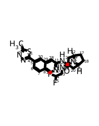 Cc1nnc(-c2ccc3cnc(NC(=O)N4[C@@H]5CC[C@H]4CC(NCC(F)F)C5)cc3c2)s1